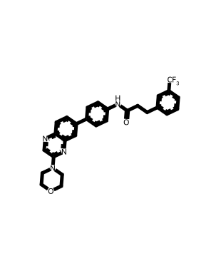 O=C(CCc1cccc(C(F)(F)F)c1)Nc1ccc(-c2ccc3ncc(N4CCOCC4)nc3c2)cc1